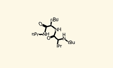 CCCCC(NC(=O)C(NC(C)(C)C)C(C)C)C(=O)NCCC